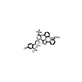 COc1cccc(-c2nnc(N(CC[Si](C)(C)C)S(=O)(=O)C[C@H](O)c3ccc(Cl)cc3S(C)(=O)=O)n2-c2c(OC)cccc2OC)n1